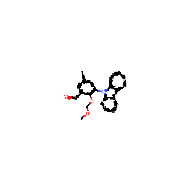 COCOc1c(C=O)cc(C)cc1-n1c2ccccc2c2ccccc21